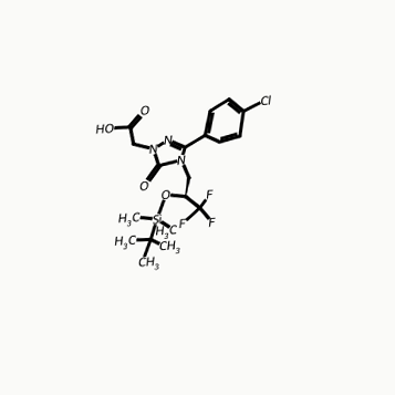 CC(C)(C)[Si](C)(C)O[C@@H](Cn1c(-c2ccc(Cl)cc2)nn(CC(=O)O)c1=O)C(F)(F)F